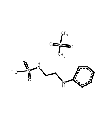 NS(=O)(=O)C(F)(F)F.O=S(=O)(NCCNc1ccccc1)C(F)(F)F